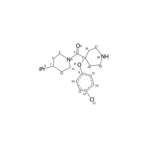 CC(C)C1CCN(C(=O)C2(Oc3ccc(Cl)cc3)CCNCC2)CC1